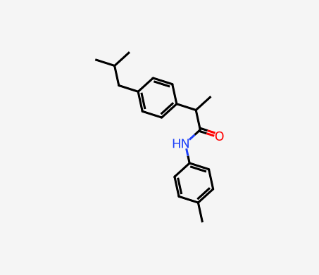 Cc1ccc(NC(=O)C(C)c2ccc(CC(C)C)cc2)cc1